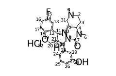 CN1CCC(N(C)C(=O)N2N=C3c4cc(F)ccc4OC[C@@H]3[C@@H]2c2cccc(O)c2)CC1.Cl